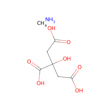 C.N.O=C(O)CC(O)(CC(=O)O)C(=O)O